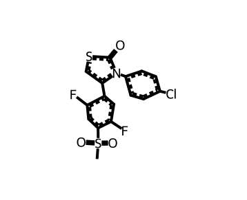 CS(=O)(=O)c1cc(F)c(-c2csc(=O)n2-c2ccc(Cl)cc2)cc1F